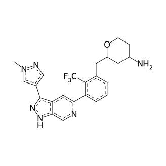 Cn1cc(-c2n[nH]c3cnc(-c4cccc(CC5CC(N)CCO5)c4C(F)(F)F)cc23)cn1